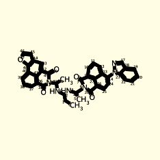 CCC(NC(C)N1C(=O)c2cccc3c(-n4ncc5ccccc54)ccc(c23)C1=O)NC(C)N1C(=O)c2cccc3c2c(cc2ccoc23)C1=O